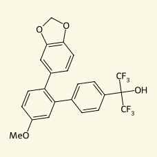 COc1ccc(-c2ccc3c(c2)OCO3)c(-c2ccc(C(O)(C(F)(F)F)C(F)(F)F)cc2)c1